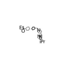 CCC(=O)[C@H]1CC[C@H](c2ccc(CN3CCC(Cn4cc(C(C)C)cn4)CC3)cc2)CC1